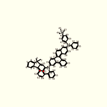 CC1(C)c2ccccc2-c2ccc(N(c3ccc4c(c3)c3ccccc3c3c5ccc(N(c6ccccc6)c6ccc([Si](C)(C)C)cc6)cc5ccc43)c3ccccc3-c3ccccc3)cc21